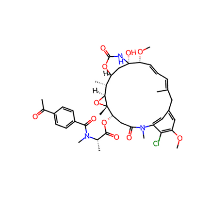 COc1cc2cc(c1Cl)N(C)C(=O)C[C@H](OC(=O)[C@H](C)N(C)C(=O)c1ccc(C(C)=O)cc1)[C@]1(C)O[C@H]1[C@H](C)[C@@H]1C[C@@](O)(NC(=O)O1)[C@H](OC)/C=C/C=C(\C)C2